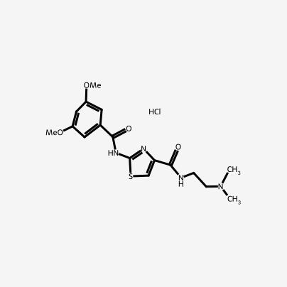 COc1cc(OC)cc(C(=O)Nc2nc(C(=O)NCCN(C)C)cs2)c1.Cl